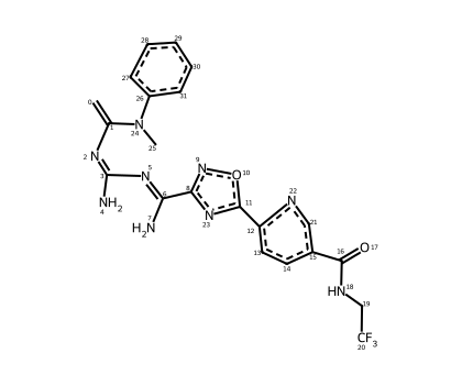 C=C(/N=C(N)\N=C(/N)c1noc(-c2ccc(C(=O)NCC(F)(F)F)cn2)n1)N(C)c1ccccc1